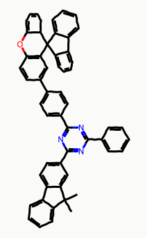 CC1(C)c2ccccc2-c2ccc(-c3nc(-c4ccccc4)nc(-c4ccc(-c5ccc6c(c5)C5(c7ccccc7-c7ccccc75)C5CC=CC=C5O6)cc4)n3)cc21